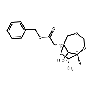 B[C@@H]1O[C@@]2(CC(=O)OCc3ccccc3)COCO[C@H]1C2C